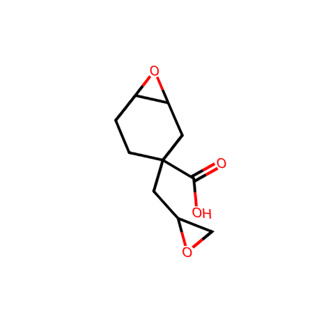 O=C(O)C1(CC2CO2)CCC2OC2C1